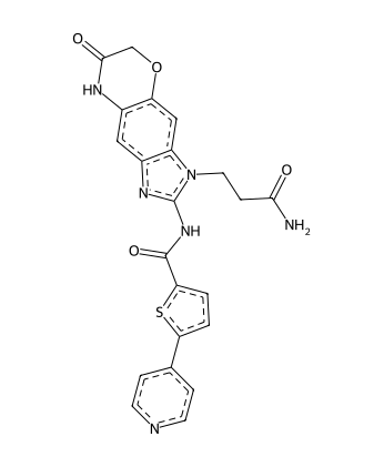 NC(=O)CCn1c(NC(=O)c2ccc(-c3ccncc3)s2)nc2cc3c(cc21)OCC(=O)N3